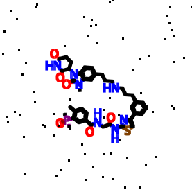 Cc1ccc(C(=O)NCC(=O)Nc2nc(-c3cccc(CCCNCCCc4ccc5c(c4)n(C)c(=O)n5C4CCC(=O)NC4=O)c3)cs2)cc1P(C)(C)=O